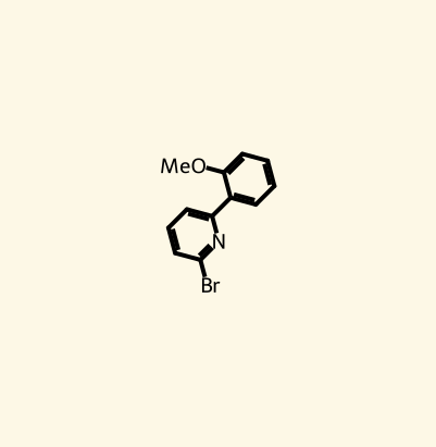 COc1ccccc1-c1cccc(Br)n1